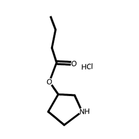 CCCC(=O)OC1CCNC1.Cl